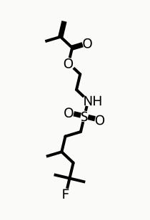 C=C(C)C(=O)OCCNS(=O)(=O)CCC(C)CC(C)(C)F